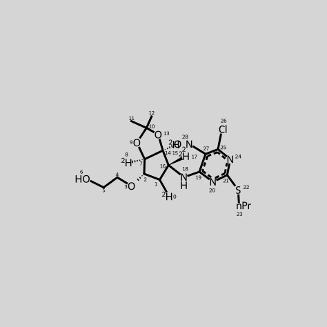 [2H]C1[C@H](OCCO)[C@@]2([2H])OC(C)(C)O[C@@]2([2H])[C@]1([2H])Nc1nc(SCCC)nc(Cl)c1[N+](=O)[O-]